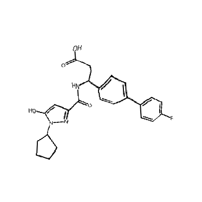 O=C(O)CC(NC(=O)c1cc(O)n(C2CCCC2)n1)c1ccc(-c2ccc(F)cc2)cc1